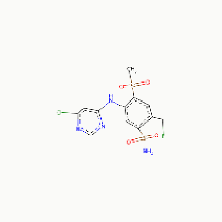 CS(=O)(=O)c1cc(CF)c(S(N)(=O)=O)cc1Nc1cc(Cl)ncn1